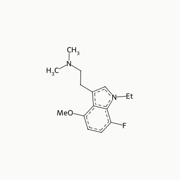 CCn1cc(CCN(C)C)c2c(OC)ccc(F)c21